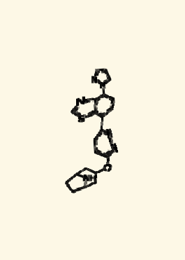 c1cnn(-c2ccc(-c3ccc(OC4CC5CCC(C4)N5)nn3)c3scnc23)c1